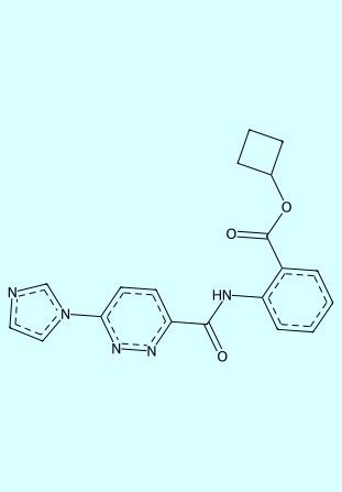 O=C(Nc1ccccc1C(=O)OC1CCC1)c1ccc(-n2ccnc2)nn1